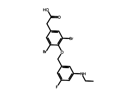 CCNc1cc(F)cc(COc2c(Br)cc(CC(=O)O)cc2Br)c1